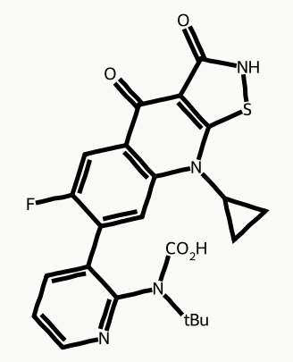 CC(C)(C)N(C(=O)O)c1ncccc1-c1cc2c(cc1F)c(=O)c1c(=O)[nH]sc1n2C1CC1